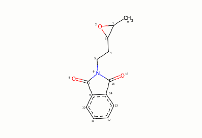 CC1OC1CCN1C(=O)c2ccccc2C1=O